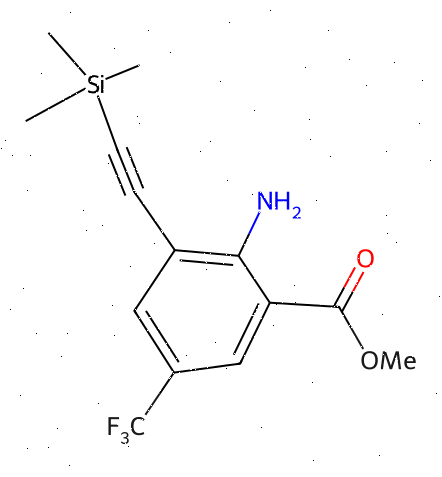 COC(=O)c1cc(C(F)(F)F)cc(C#C[Si](C)(C)C)c1N